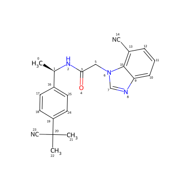 C[C@@H](NC(=O)Cn1cnc2cccc(C#N)c21)c1ccc(C(C)(C)C#N)cc1